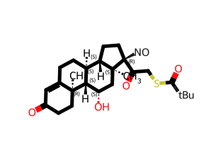 CC(C)(C)C(=O)SCC(=O)[C@@]1(N=O)CC[C@H]2[C@@H]3CCC4=CC(=O)CC[C@]4(C)[C@H]3[C@@H](O)C[C@@]21C